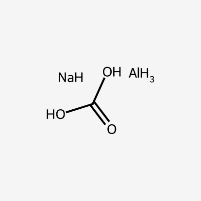 O=C(O)O.[AlH3].[NaH]